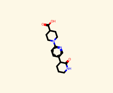 O=C(O)C1CCN(c2ccc(C3CCCNC3=O)cn2)CC1